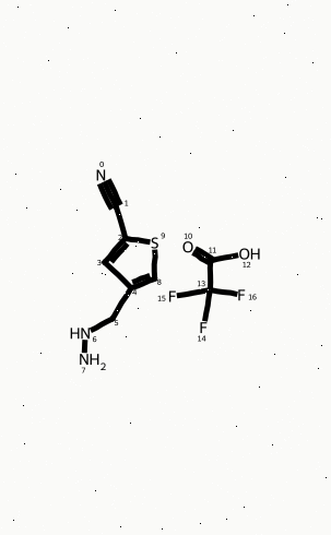 N#Cc1cc(CNN)cs1.O=C(O)C(F)(F)F